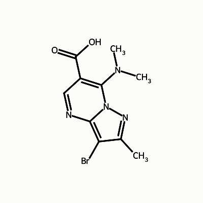 Cc1nn2c(N(C)C)c(C(=O)O)cnc2c1Br